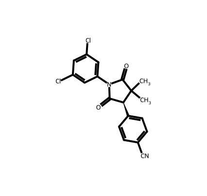 CC1(C)C(=O)N(c2cc(Cl)cc(Cl)c2)C(=O)[C@@H]1c1ccc(C#N)cc1